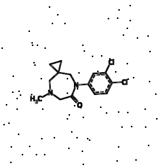 CN1CC(=O)N(c2ccc(Cl)c(Cl)c2)CC2(CC2)C1